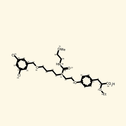 CCOC(Cc1ccc(OCCN(CCCCOCc2cc(Cl)cc(Cl)c2)C(=O)NCCOC)cc1)C(=O)O